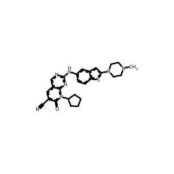 CN1CCN(c2cc3cc(Nc4ncc5cc(C#N)c(=O)n(C6CCCC6)c5n4)ccc3s2)CC1